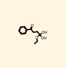 CCOC(O)(O)CCC(=O)c1ccccc1